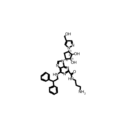 NCCCNC(=O)c1nc(NCC(c2ccccc2)c2ccccc2)c2ncn([C@@H]3C[C@H](n4cc(CO)cn4)[C@@H](O)[C@H]3O)c2n1